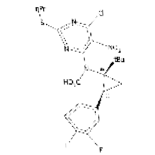 CCCSc1nc(Cl)c([N+](=O)[O-])c(N(C(=O)O)[C@]2(C(C)(C)C)C[C@H]2c2ccc(F)c(F)c2)n1